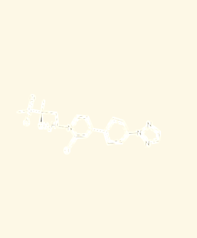 C[C@@](CCn1ccc(-c2ccc(-n3nccn3)cc2)cc1=O)(C(=O)O)S(C)(=O)=O